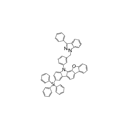 c1ccc(-c2nn(Cc3cccc(-n4c5ccc([Si](c6ccccc6)(c6ccccc6)c6ccccc6)cc5c5ccc6c7ccccc7oc6c54)c3)c3ccccc23)cc1